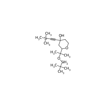 CC(C)(C)[SiH2]OC(C)(C)C1CC(O)(C#C[Si](C)(C)C)CCO1